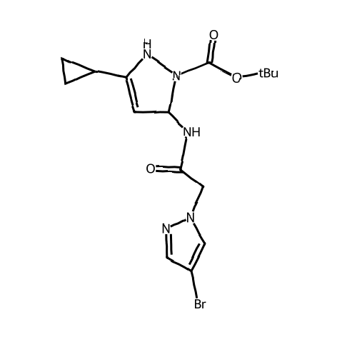 CC(C)(C)OC(=O)N1NC(C2CC2)=CC1NC(=O)Cn1cc(Br)cn1